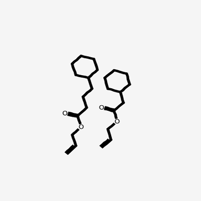 C=CCOC(=O)CC1CCCCC1.C=CCOC(=O)CCCC1CCCCC1